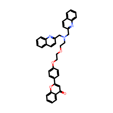 O=c1cc(-c2ccc(OCCOCCN(Cc3ccc4ccccc4n3)Cc3ccc4ccccc4n3)cc2)oc2ccccc12